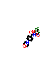 O=C(NS(=O)(=O)C(F)(F)F)c1ccc(N2CCOCC2)cc1